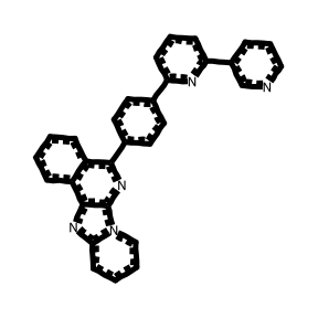 c1cncc(-c2cccc(-c3ccc(-c4nc5c(nc6ccccn65)c5ccccc45)cc3)n2)c1